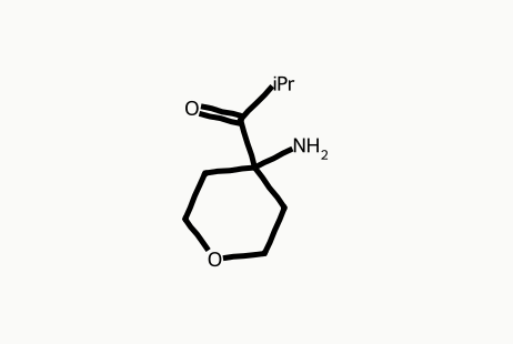 CC(C)C(=O)C1(N)CCOCC1